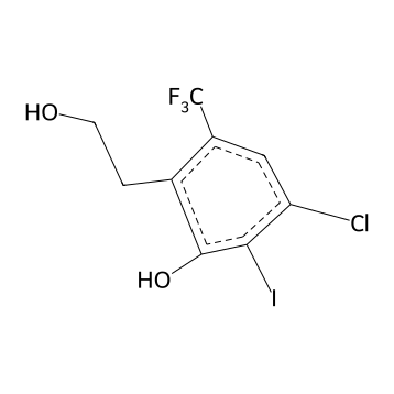 OCCc1c(C(F)(F)F)cc(Cl)c(I)c1O